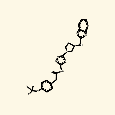 O=C(Cc1ccc(OC(F)(F)F)cc1)Nc1nnc(N2CC[C@@H](Nc3nc4ncccc4s3)C2)s1